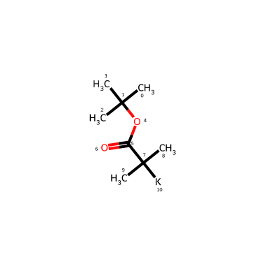 CC(C)(C)OC(=O)[C](C)(C)[K]